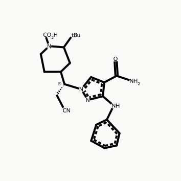 CC(C)(C)C1CC([C@@H](CC#N)n2cc(C(N)=O)c(Nc3ccccc3)n2)CCN1C(=O)O